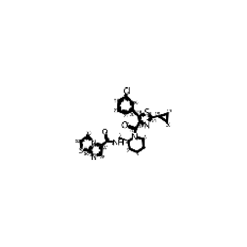 O=C(NC[C@@H]1CCCCN1C(=O)c1nc(C2CC2)sc1-c1cccc(Cl)c1)c1cnc2sccn12